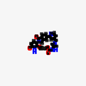 CC(C)(C)OC(=O)NC1CN(Cc2ccnc(-c3ccc4c(c3)CN(C3CCC(=O)NC3=O)C4=O)c2)C1